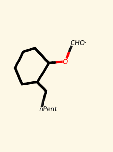 CCCCCCC1CCCCC1O[C]=O